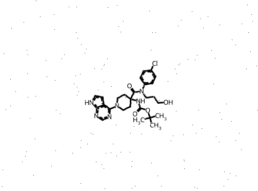 CC(C)(C)OC(=O)NC1(C(=O)N(CCCO)c2ccc(Cl)cc2)CCN(c2ncnc3[nH]ccc23)CC1